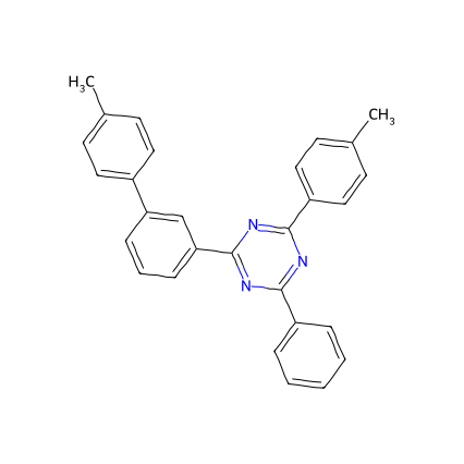 Cc1ccc(-c2cccc(-c3nc(-c4ccccc4)nc(-c4ccc(C)cc4)n3)c2)cc1